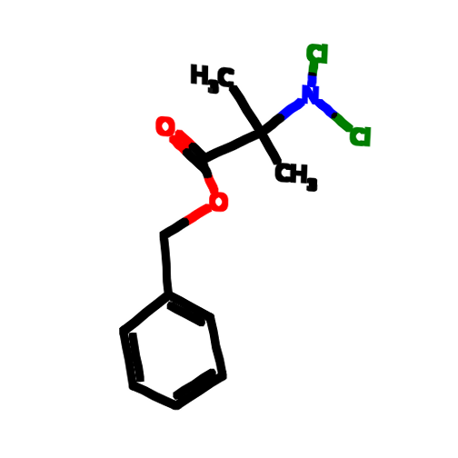 CC(C)(C(=O)OCc1ccccc1)N(Cl)Cl